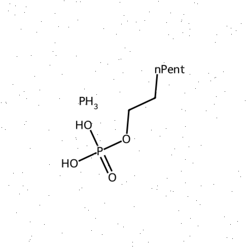 CCCCCCCOP(=O)(O)O.P